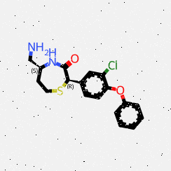 NC[C@@H]1CCS[C@H](c2ccc(Oc3ccccc3)c(Cl)c2)C(=O)N1